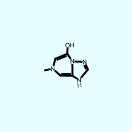 CN1C=C(O)N2N=CNC2=C1